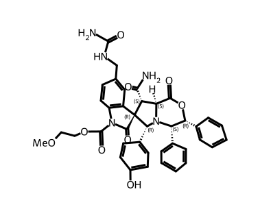 COCCOC(=O)N1C(=O)[C@@]2(c3cc(CNC(N)=O)ccc31)[C@H](C(N)=O)[C@H]1C(=O)O[C@H](c3ccccc3)[C@H](c3ccccc3)N1[C@@H]2c1ccc(O)cc1